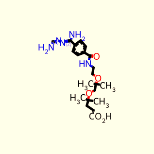 CC(C)(CCC(=O)O)OCC(C)(C)OCCNC(=O)c1ccc(/C(N)=N/N=C\N)cc1